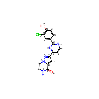 O=C1NCCn2nc(-c3ccnc(-c4ccc(O)c(Cl)c4)n3)cc21